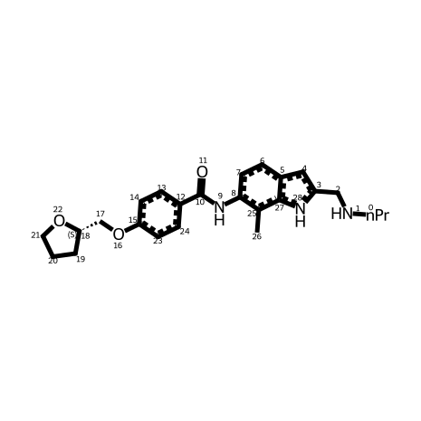 CCCNCc1cc2ccc(NC(=O)c3ccc(OC[C@@H]4CCCO4)cc3)c(C)c2[nH]1